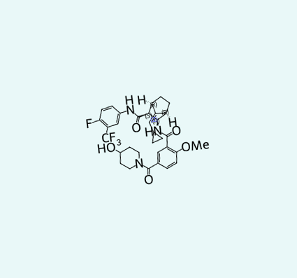 COc1ccc(C(=O)N2CCC(O)CC2)cc1C(=O)N[C@H]1[C@@H](C(=O)Nc2ccc(F)c(C(F)(F)F)c2)[C@H]2CC[C@@H]1/C2=C\C1CC1